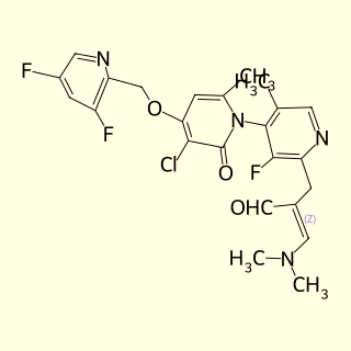 Cc1cnc(C/C(C=O)=C/N(C)C)c(F)c1-n1c(C)cc(OCc2ncc(F)cc2F)c(Cl)c1=O